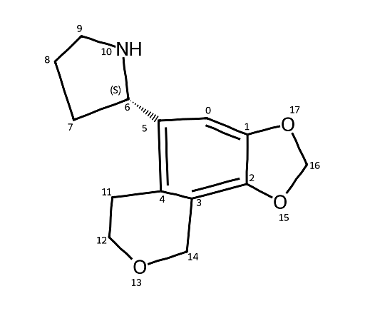 c1c2c(c3c(c1[C@@H]1CCCN1)CCOC3)OCO2